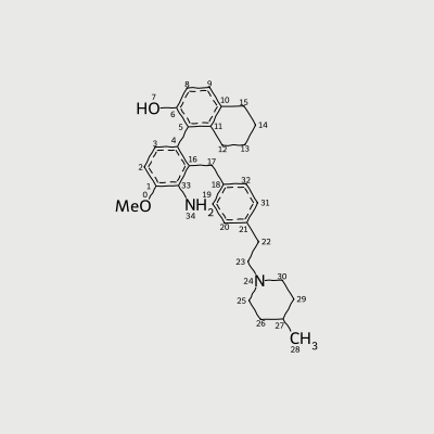 COc1ccc(-c2c(O)ccc3c2CCCC3)c(Cc2ccc(CCN3CCC(C)CC3)cc2)c1N